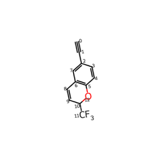 C#Cc1ccc2c(c1)C=CC(C(F)(F)F)O2